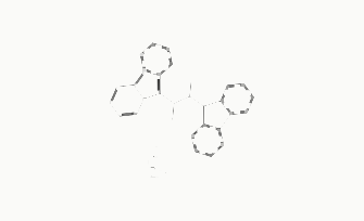 CC(C1=c2ccccc2=C2C=CC=CC21)C(C)C1c2ccccc2-c2ccccc21.[Cl-].[Cl-].[Zr+2]